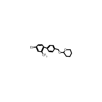 CCc1ccc(-c2ccc(COC3CCCCO3)cc2)c(C(F)(F)F)c1